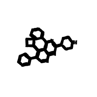 c1ccc(-c2cnc3nc(N4CCNCC4)nc(-c4ccccc4)c3c2C2CCC2)cc1